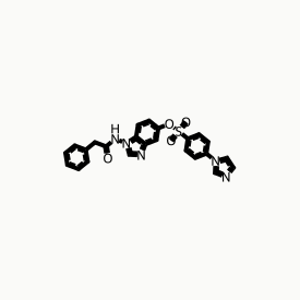 O=C(Cc1ccccc1)Nn1cnc2cc(OS(=O)(=O)c3ccc(-n4ccnc4)cc3)ccc21